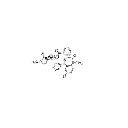 CCCCCCCCOC(=O)c1cccnc1.CN1C(=O)CN=C(c2ccccc2)c2cc(Cl)ccc21.CN1CCN(C)C1=O